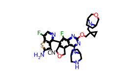 N#Cc1c(N)sc2c(F)cnc(-c3c4c(c5c(N6C7CCC6CNC7)nc(OCC6(CN7C8CCC7COC8)CC6)nc5c3F)COC4)c12